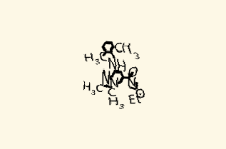 CCOC1CN(C(=O)c2cc(NCc3c(C)cccc3C)c3nc(C)c(C)n3c2)C1